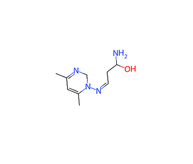 CC1=CC(C)=NCN1/N=C\CC(N)O